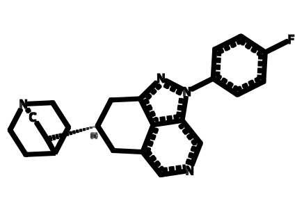 Fc1ccc(-n2nc3c4c(cncc42)C[C@H](C2CN4CCC2CC4)C3)cc1